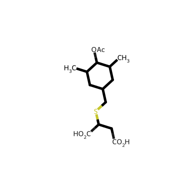 CC(=O)OC1C(C)CC(CSC(CC(=O)O)C(=O)O)CC1C